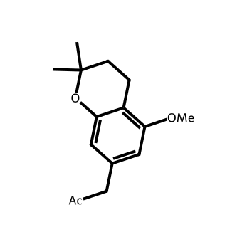 COc1cc(CC(C)=O)cc2c1CCC(C)(C)O2